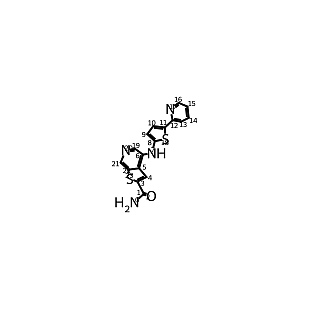 NC(=O)c1cc2c(Nc3ccc(-c4ccccn4)s3)cncc2s1